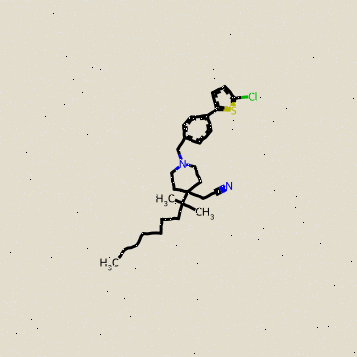 CCCCCCCC(C)(C)C1(CC#N)CCN(Cc2ccc(-c3ccc(Cl)s3)cc2)CC1